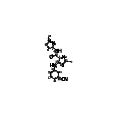 Cc1nc(C(=O)Nc2ccn(C)n2)c(Nc2cccc(C#N)c2)s1